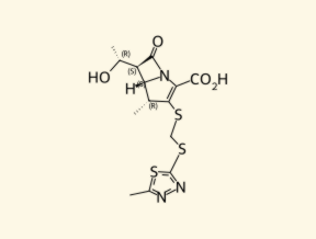 Cc1nnc(SCSC2=C(C(=O)O)N3C(=O)[C@H]([C@@H](C)O)[C@H]3[C@H]2C)s1